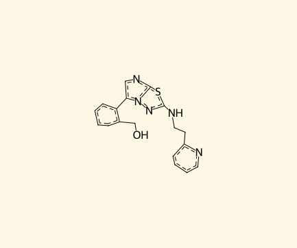 OCc1ccccc1-c1cnc2sc(NCCc3ccccn3)nn12